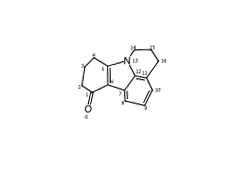 O=C1CCCc2c1c1cccc3c1n2CCC3